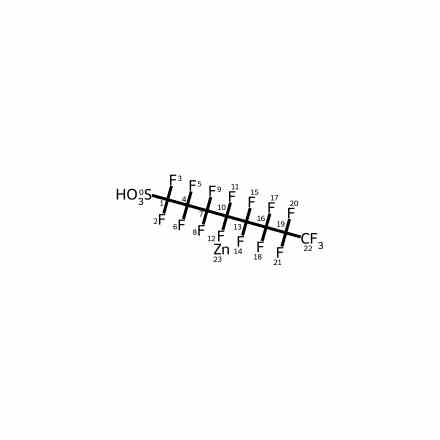 O=S(=O)(O)C(F)(F)C(F)(F)C(F)(F)C(F)(F)C(F)(F)C(F)(F)C(F)(F)C(F)(F)F.[Zn]